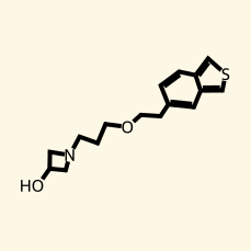 OC1CN(CCCOCCc2ccc3cscc3c2)C1